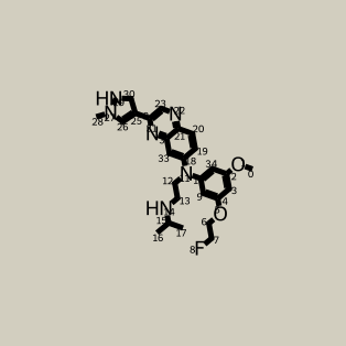 COc1cc(OCCF)cc(N(CCNC(C)C)c2ccc3ncc(C4=CN(C)NC4)nc3c2)c1